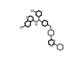 Clc1cccc(C(Nc2ccnc3cc(Cl)ccc23)c2ccc(CN3CCN(c4ccnc(N5CCCCC5)n4)CC3)cc2)c1